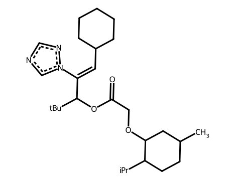 CC1CCC(C(C)C)C(OCC(=O)OC(C(=CC2CCCCC2)n2cncn2)C(C)(C)C)C1